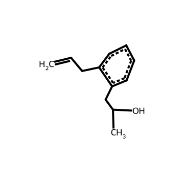 C=CCc1ccccc1CC(C)O